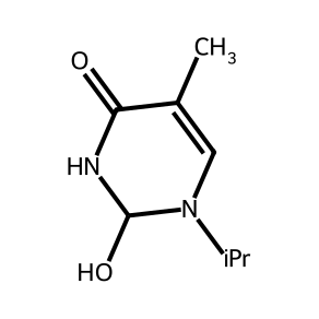 CC1=CN(C(C)C)C(O)NC1=O